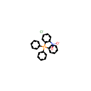 O=[N+]([O-])c1ccccc1[P+](c1ccccc1)(c1ccccc1)c1ccccc1.[Cl-]